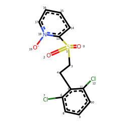 O=S(=O)(CCc1c(Cl)cccc1Cl)c1cccc[n+]1[O-]